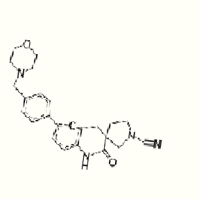 N#CN1CCC2(Cc3cc(-c4ccc(CN5CCOCC5)cc4)ccc3NC2=O)C1